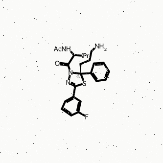 CC(=O)NC(C(=O)N1N=C(c2cccc(F)c2)S[C@@]1(CCCN)c1ccccc1)C(C)C